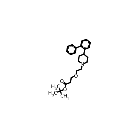 CC(C)(C)OC(=O)CCOCCN1CCC(c2ccccc2-c2ccccc2)CC1